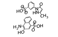 Cc1cc(=O)n(-c2cccc(S(=O)(=O)O)c2)[nH]1.Nc1c(O)cc(S(=O)(=O)O)c2ccccc12